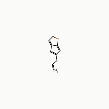 C=CCC1=CC2=CCSC2=C1